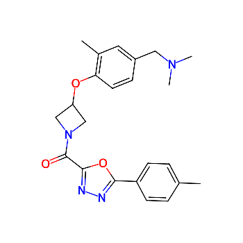 Cc1ccc(-c2nnc(C(=O)N3CC(Oc4ccc(CN(C)C)cc4C)C3)o2)cc1